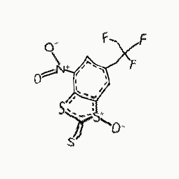 O=[N+]([O-])c1cc(C(F)(F)F)cc2c1sc(=S)[s+]2[O-]